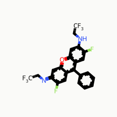 Fc1cc2c(-c3ccccc3)c3cc(F)c(=NCC(F)(F)F)cc-3oc2cc1NCC(F)(F)F